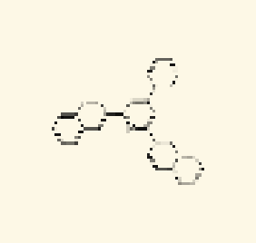 c1ccc(-c2cc(-c3ccc4ccccc4c3)pc(-c3ccc4ccccc4c3)c2)cc1